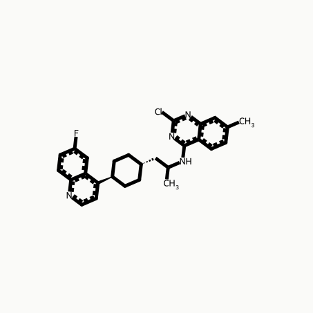 Cc1ccc2c(NC(C)C[C@H]3CC[C@H](c4ccnc5ccc(F)cc54)CC3)nc(Cl)nc2c1